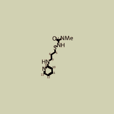 CNC(=O)NSCCCNc1ccccn1